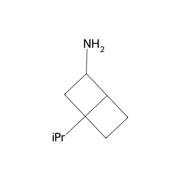 CC(C)C12CCC1C(N)C2